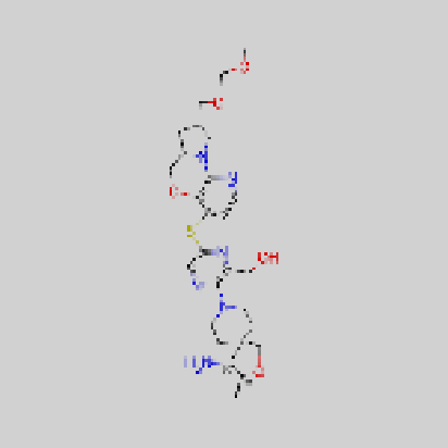 COCOCC1CC2COc3c(Sc4cnc(N5CCC6(CC5)CO[C@@H](C)[C@H]6N)c(CO)n4)ccnc3N2C1